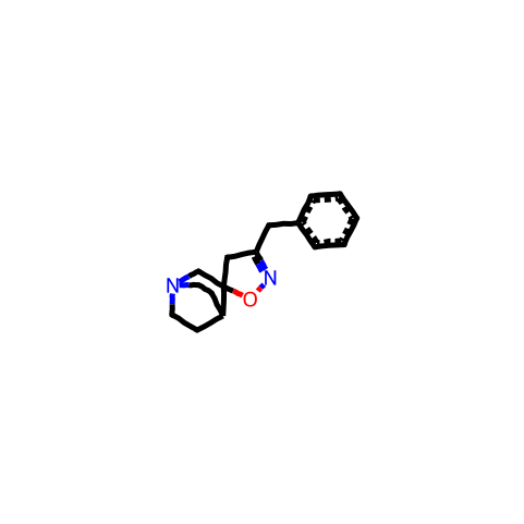 c1ccc(CC2=NOC3(C2)CN2CCC3CC2)cc1